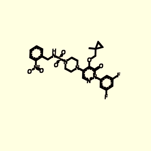 CC1(COc2c(N3CCN(S(=O)(=O)NCc4ccccc4[N+](=O)[O-])CC3)cnn(-c3cc(F)cc(F)c3)c2=O)CC1